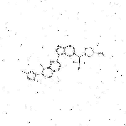 Cc1cnn(-c2ccc3ccc(-c4nnc5ccc([C@@H](N6CC[C@H](N)C6)C(F)(F)F)cn45)nc3c2C)c1